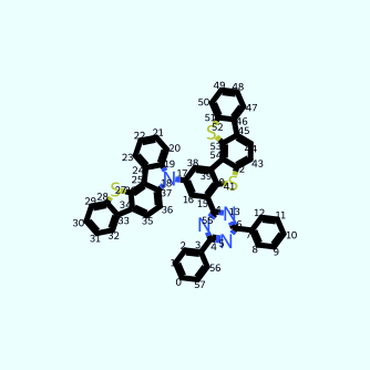 c1ccc(-c2nc(-c3ccccc3)nc(-c3cc(-n4c5ccccc5c5c6sc7ccccc7c6ccc54)cc4c3sc3ccc5c6ccccc6sc5c34)n2)cc1